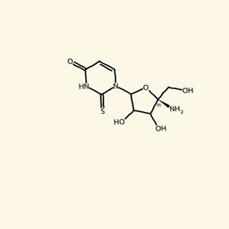 N[C@]1(CO)OC(n2ccc(=O)[nH]c2=S)C(O)C1O